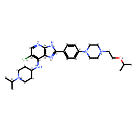 CC(C)OCCN1CCN(c2ccc(-c3nc4c(NC5CCN(C(C)C)CC5)c(Cl)cnc4[nH]3)cc2)CC1